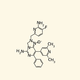 Cc1cc(C2=C(c3ccccc3)N=C(N)N3CN(Cc4ccc(F)c(N)n4)[N+]([O-])=C23)cc(C)n1